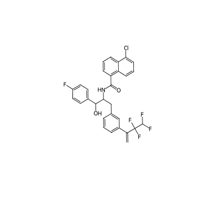 C=C(c1cccc(CC(NC(=O)c2cccc3c(Cl)cccc23)C(O)c2ccc(F)cc2)c1)C(F)(F)C(F)F